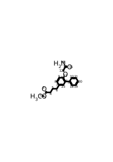 COC(=O)CCCc1ccc(OCC(N)=O)c(-c2ccccc2)c1